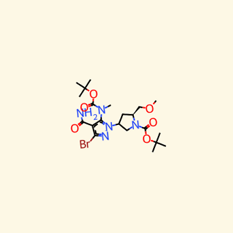 COC[C@@H]1CC(n2nc(Br)c(C(N)=O)c2N(C)C(=O)OC(C)(C)C)CN1C(=O)OC(C)(C)C